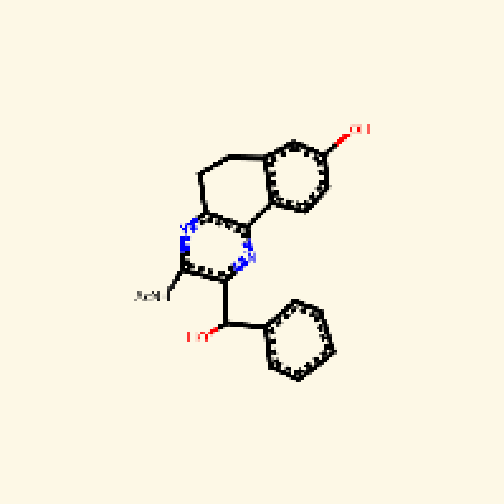 CC(=O)Nc1nc2c(nc1C(O)c1ccccc1)-c1ccc(O)cc1CC2